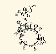 CCOP(=O)(CCCN1C(=O)O[C@H]2[C@H]1[C@@H](C)C(=O)[C@H](C)C[C@@](C)(OC)C[C@@H](C)C[C@@H](C)C(=O)O[C@@H]2I)OCC